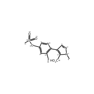 Cn1ncc(-c2ncc(OS(C)(=O)=O)cc2F)c1C(=O)O